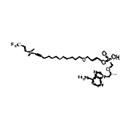 C[C@H](Cn1cnc2c(N)ncnc21)OCP(=O)(O)OCCCOCCCCCCCCCCC#CS(C)(C)CCC(F)(F)F